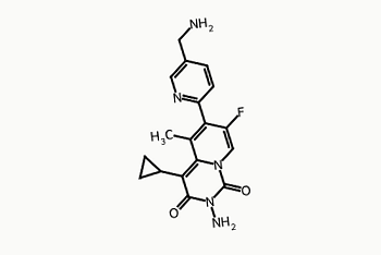 Cc1c(-c2ccc(CN)cn2)c(F)cn2c(=O)n(N)c(=O)c(C3CC3)c12